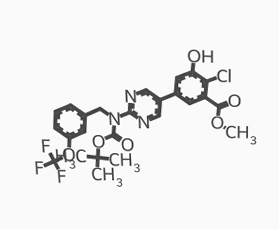 COC(=O)c1cc(-c2cnc(N(Cc3cccc(OC(F)(F)F)c3)C(=O)OC(C)(C)C)nc2)cc(O)c1Cl